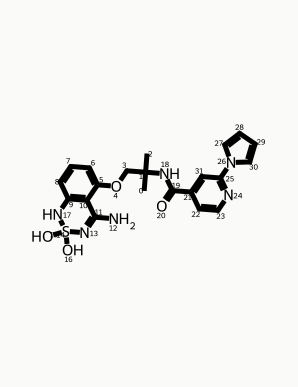 CC(C)(COc1cccc2c1C(N)=NS(O)(O)N2)NC(=O)c1ccnc(-n2cccc2)c1